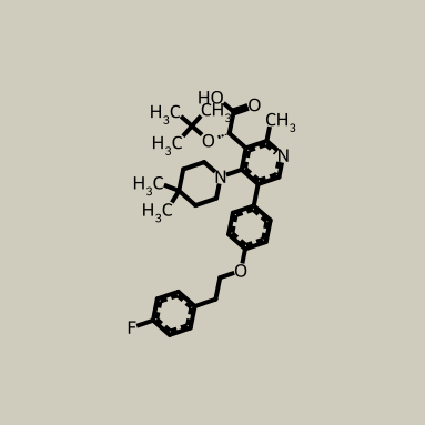 Cc1ncc(-c2ccc(OCCc3ccc(F)cc3)cc2)c(N2CCC(C)(C)CC2)c1[C@H](OC(C)(C)C)C(=O)O